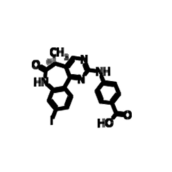 C[C@H]1C(=O)Nc2cc(I)ccc2-c2nc(Nc3ccc(C(=O)O)cc3)ncc21